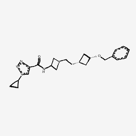 O=C(NC1CN(CC[C@H]2C[C@@H](OCc3ccccc3)C2)C1)c1cn(C2CC2)nn1